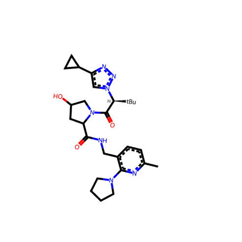 Cc1ccc(CNC(=O)C2CC(O)CN2C(=O)[C@@H](n2cc(C3CC3)nn2)C(C)(C)C)c(N2CCCC2)n1